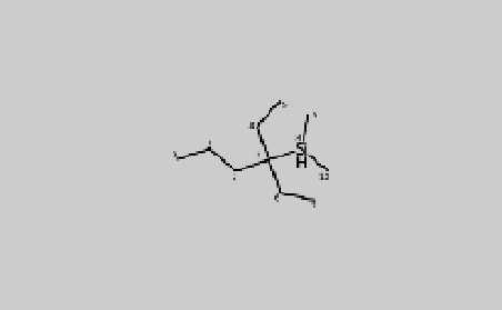 CCCC(CC)(CC)[SiH](C)C